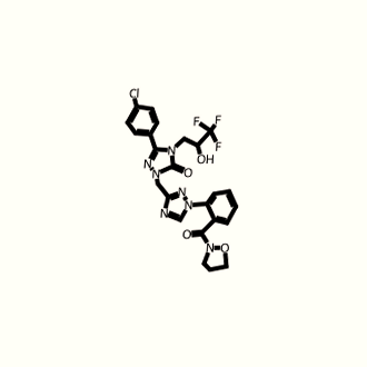 O=C(c1ccccc1-n1cnc(Cn2nc(-c3ccc(Cl)cc3)n(CC(O)C(F)(F)F)c2=O)n1)N1CCCO1